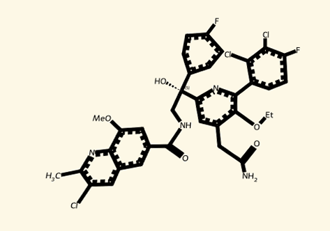 CCOc1c(CC(N)=O)cc([C@@](O)(CNC(=O)c2cc(OC)c3nc(C)c(Cl)cc3c2)c2ccc(F)cc2)nc1-c1ccc(F)c(Cl)c1Cl